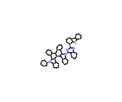 c1ccc(-n2c3ccccc3c3c4c(c5ccccc5c32)c2ccccc2c2c4c3ccccc3n2-c2nc(-c3cccc4c3sc3ccccc34)nc3ccccc23)cc1